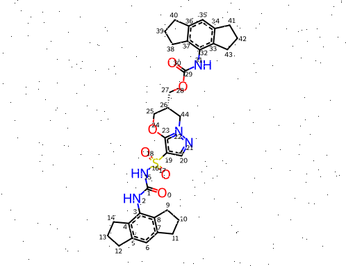 O=C(Nc1c2c(cc3c1CCC3)CCC2)NS(=O)(=O)c1cnn2c1OC[C@H](COC(=O)Nc1c3c(cc4c1CCC4)CCC3)C2